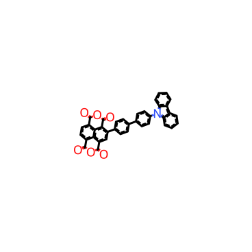 O=C1OC(=O)c2cc(-c3ccc(-c4ccc(-n5c6ccccc6c6ccccc65)cc4)cc3)c3c4c(ccc1c24)C(=O)OC3=O